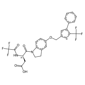 O=C(O)C[C@@H](NC(=O)C(F)(F)F)C(=O)N1CCc2cc(OCc3cc(-c4ccccc4)c(C(F)(F)F)s3)ccc21